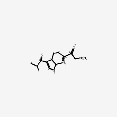 CN(C)C(=O)C1=[C]SC2N=C(C(=O)CN)CCC12